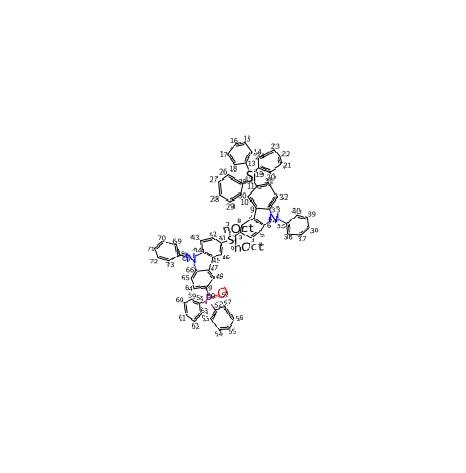 CCCCCCCC[Si](CCCCCCCC)(c1ccc2c(c1)c1cc([Si](c3ccccc3)(c3ccccc3)c3ccccc3)ccc1n2-c1ccccc1)c1ccc2c(c1)c1cc(P(=O)(c3ccccc3)c3ccccc3)ccc1n2-c1ccccc1